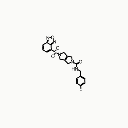 O=C(NCc1ccc(F)cc1)N1CC2=C(C1)CN(S(=O)(=O)c1cccc3nonc13)C2